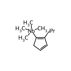 CC(C)C1=[C]([Nb]([CH3])([CH3])([CH3])[CH3])CC=C1